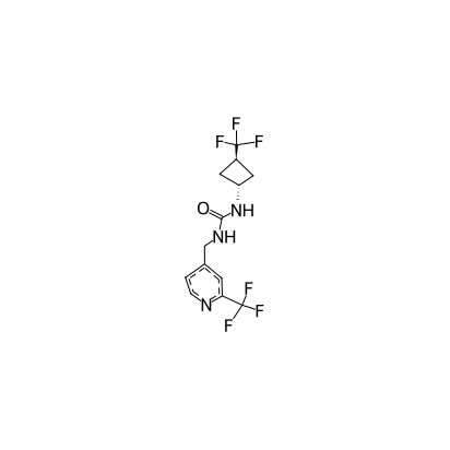 O=C(NCc1ccnc(C(F)(F)F)c1)N[C@H]1C[C@H](C(F)(F)F)C1